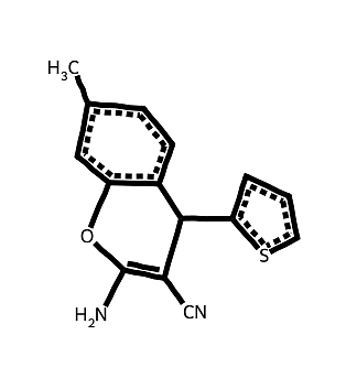 Cc1ccc2c(c1)OC(N)=C(C#N)C2c1cccs1